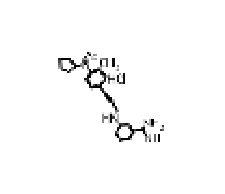 CC(=O)N(c1ccc(C#CCNc2cccc(C(=N)N)c2)cc1C)C1CCCC1.Cl